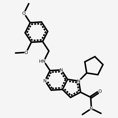 COc1ccc(CNc2ncc3cc(C(=O)N(C)C)n(C4CCCC4)c3n2)c(OC)c1